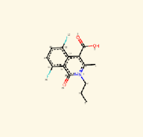 CCCn1c(C)c(C(=O)O)c2c(F)ccc(F)c2c1=O